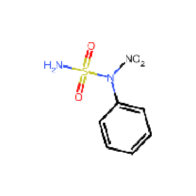 NS(=O)(=O)N(c1ccccc1)[N+](=O)[O-]